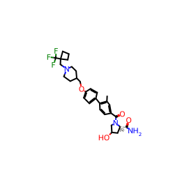 Cc1cc(C(=O)N2CC(O)C[C@H]2C(N)=O)ccc1-c1ccc(OCC2CCN(CC3(C(F)(F)F)CCC3)CC2)cc1